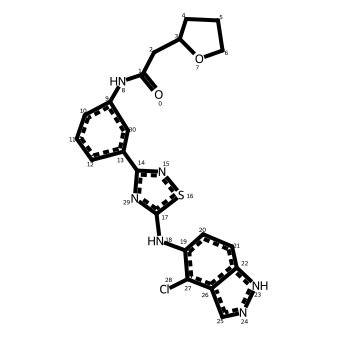 O=C(CC1CCCO1)Nc1cccc(-c2nsc(Nc3ccc4[nH]ncc4c3Cl)n2)c1